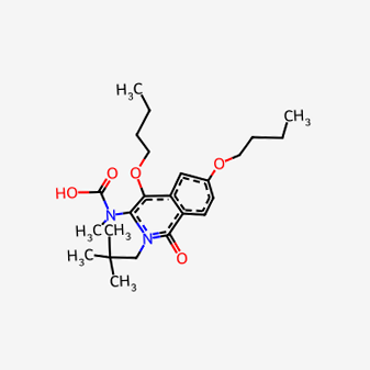 CCCCOc1ccc2c(=O)n(CC(C)(C)C)c(N(C)C(=O)O)c(OCCCC)c2c1